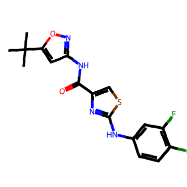 CC(C)(C)c1cc(NC(=O)c2csc(Nc3ccc(Cl)c(F)c3)n2)no1